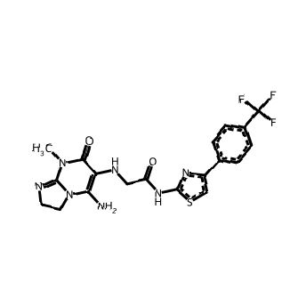 CN1C(=O)C(NCC(=O)Nc2nc(-c3ccc(C(F)(F)F)cc3)cs2)=C(N)N2CCN=C12